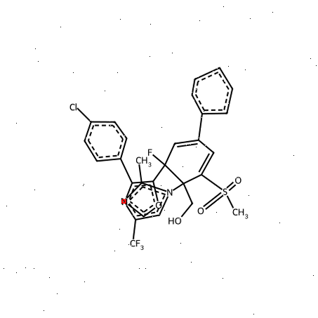 Cc1nc(C(F)(F)F)cn1C1(CO)C(S(C)(=O)=O)=CC(c2ccccc2)=CC1(F)c1ocnc1-c1ccc(Cl)cc1